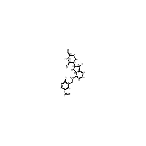 COc1ccc(F)c(COc2cccc3c2CN(C2CCC(=O)NC2=O)C3=O)c1